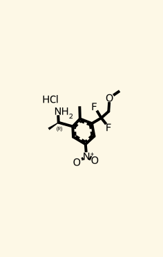 COCC(F)(F)c1cc([N+](=O)[O-])cc([C@@H](C)N)c1C.Cl